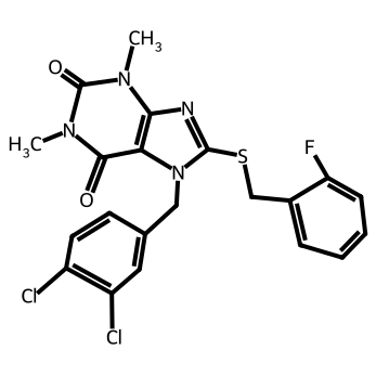 Cn1c(=O)c2c(nc(SCc3ccccc3F)n2Cc2ccc(Cl)c(Cl)c2)n(C)c1=O